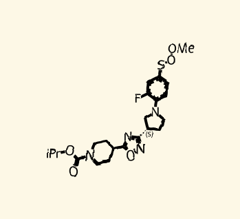 COOSc1ccc(N2CC[C@H](c3noc(C4CCN(C(=O)OC(C)C)CC4)n3)C2)c(F)c1